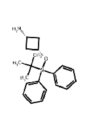 CC(C)(C)[Si](O[C@H]1C[C@@H](N)C1)(c1ccccc1)c1ccccc1